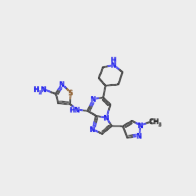 Cn1cc(-c2cnc3c(Nc4cc(N)ns4)nc(C4CCNCC4)cn23)cn1